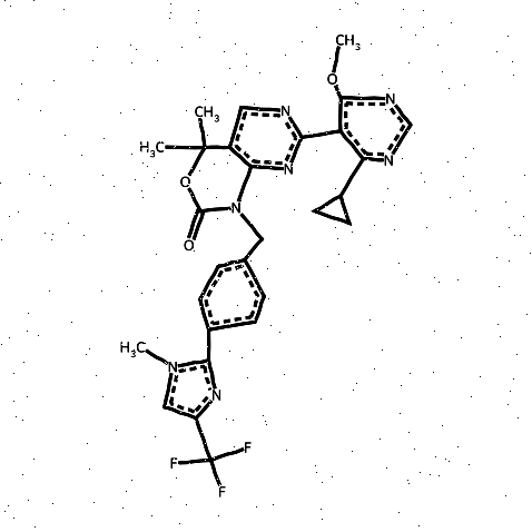 COc1ncnc(C2CC2)c1-c1ncc2c(n1)N(Cc1ccc(-c3nc(C(F)(F)F)cn3C)cc1)C(=O)OC2(C)C